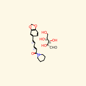 O=C(/C=C/C=C/c1ccc2c(c1)OCO2)N1CCCCC1.O=C[C@H](O)[C@H](O)[C@H](O)CO